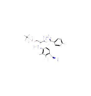 Cc1c(N[C@@H](c2nnc(-c3ccc(F)cc3)s2)[C@@H](C)O[Si](C)(C)C(C)(C)C)ccc(C#N)c1Cl